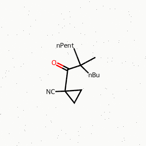 CCCCCC(C)(CCCC)C(=O)C1(C#N)CC1